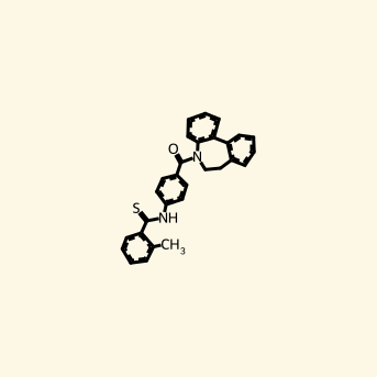 Cc1ccccc1C(=S)Nc1ccc(C(=O)N2CCc3ccccc3-c3ccccc32)cc1